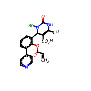 C=CC(=O)Oc1c(-c2ccncc2)cccc1C1C(C(=O)O)=C(C)NC(=O)N1Br